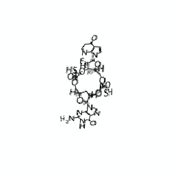 Nc1nc2c(ncn2[C@@H]2O[C@@H]3CO[P@@](=O)(S)O[C@H]4[C@H](F)[C@H](n5ccc6c5N=CCC6=O)O[C@@H]4CO[P@@](=O)(S)O[C@@H]2C3)c(=O)[nH]1